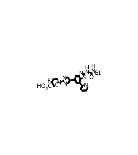 CCNC(=O)Nc1nc2cc(-c3cnc(N4CCC(F)(C(=O)O)CC4)nc3)cc(-c3ccccn3)c2s1